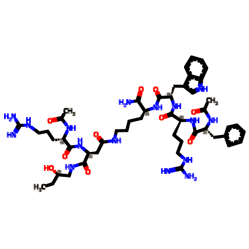 CC[C@@H](O)CNC(=O)[C@H](CC(=O)NCCCC[C@H](NC(=O)[C@H](Cc1c[nH]c2ccccc12)NC(=O)[C@H](CCCNC(=N)N)NC(=O)[C@@H](Cc1ccccc1)NC(C)=O)C(N)=O)NC(=O)[C@H](CCCNC(=N)N)NC(C)=O